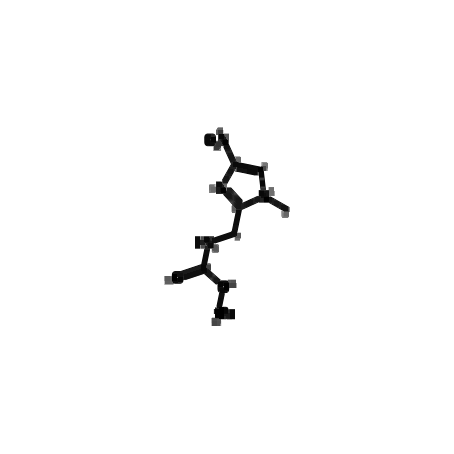 Cn1cc([N+](=O)[O-])nc1CNC(=O)OC(C)(C)C